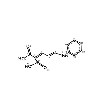 O=C(O)C(=CC=CNc1ccccc1)C(=O)O